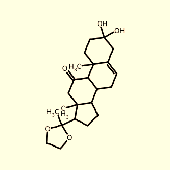 CC1(C2CCC3C4CC=C5CC(O)(O)CCC5(C)C4C(=O)CC32C)OCCO1